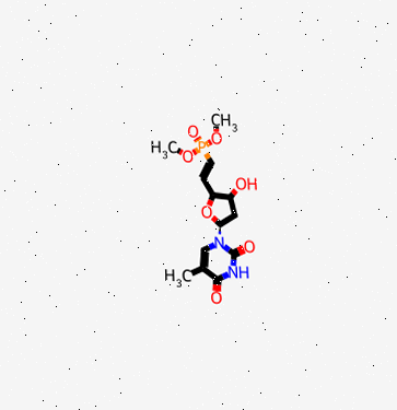 COP(=O)(/C=C/C1O[C@@H](n2cc(C)c(=O)[nH]c2=O)CC1O)OC